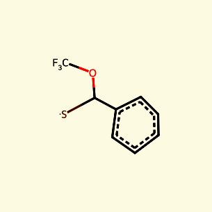 FC(F)(F)OC([S])c1ccccc1